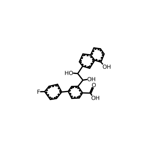 O=C(O)c1ccc(-c2ccc(F)cc2)cc1C(O)C(O)c1ccc2cccc(O)c2c1